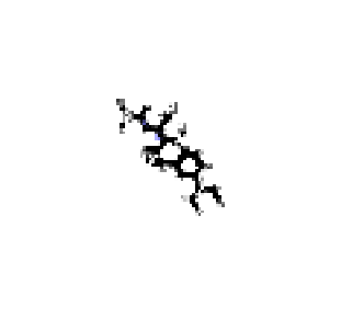 C=C/C(=C(C#N)\C=C(/C)N(C)C)N(C)c1ccc(N(CC)CC)cc1C#N